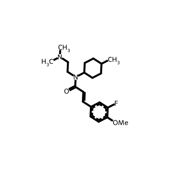 COc1ccc(C=CC(=O)N(CCN(C)C)C2CCC(C)CC2)cc1F